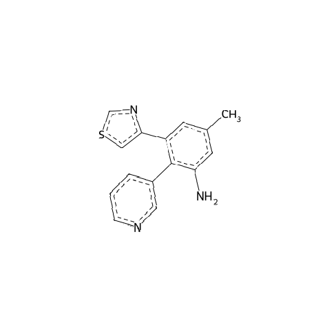 Cc1cc(N)c(-c2cccnc2)c(-c2cscn2)c1